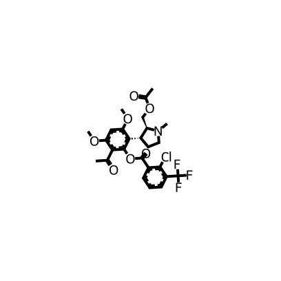 COc1cc(OC)c([C@H]2CCN(C)[C@@H]2COC(C)=O)c(OC(=O)c2cccc(C(F)(F)F)c2Cl)c1C(C)=O